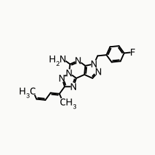 C/C=C\C=C(/C)c1nc2c3cnn(Cc4ccc(F)cc4)c3nc(N)n2n1